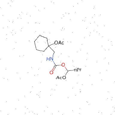 CCCC(OC(C)=O)OC(=O)NCC1(OC(C)=O)CCCCC1